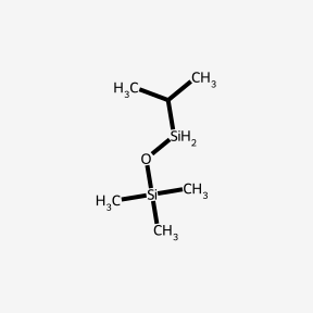 CC(C)[SiH2]O[Si](C)(C)C